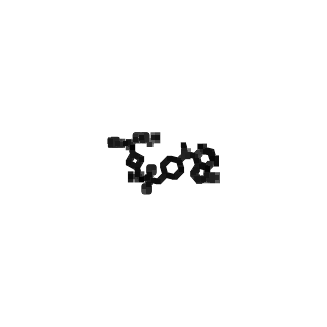 CN(c1ncnc2[nH]ccc12)C1CCC(CS(=O)(=O)NC2CC(N(C(=O)O)C(C)(C)C)C2)CC1